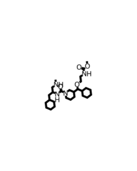 CNCC(CC1CCCCC1)NC(=O)N1CCCC(C(OCCNC(=O)OC)C2CCCCC2)C1